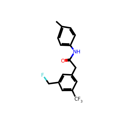 Cc1ccc(NC(=O)Cc2cc(CF)cc(C(F)(F)F)c2)cc1